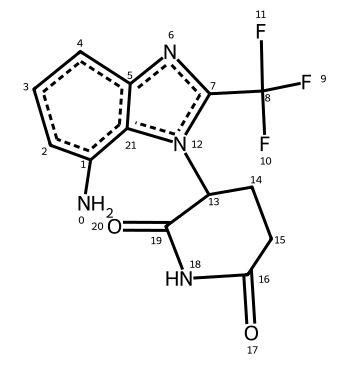 Nc1cccc2nc(C(F)(F)F)n(C3CCC(=O)NC3=O)c12